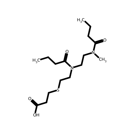 CCCC(=O)N(C)CCN(CCSCCC(=O)O)C(=O)CCC